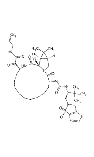 C=CCNC(=O)C(=O)[C@@H]1CCCCCCCCC[C@H](NC(=O)N[C@H](CN2Cc3sccc3S2(=O)=O)C(C)(C)C)C(=O)N2C[C@H]3[C@@H]([C@H]2C(=O)N1)C3(C)C